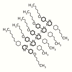 CCCCCCC[C@H]1CC[C@H](c2cnc(-c3ccc(OCCCCCC)cc3)nc2)CC1.CCCCCCOc1ccc(-c2ncc([C@H]3CC[C@H](CC)CC3)cn2)cc1.CCCCCCOc1ccc(-c2ncc([C@H]3CC[C@H](CCC)CC3)cn2)cc1.CCCCCCOc1ccc(-c2ncc([C@H]3CC[C@H](CCCC)CC3)cn2)cc1.CCCCCCOc1ccc(-c2ncc([C@H]3CC[C@H](CCCCC)CC3)cn2)cc1